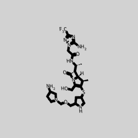 C[C@@H](NC(=O)Cn1nc(C(F)(F)F)nc1N)[C@H]1C(=O)N2C(CO)=C(SC3CNC(COCN4CCC(N)C4)C3)[C@H](C)[C@H]12